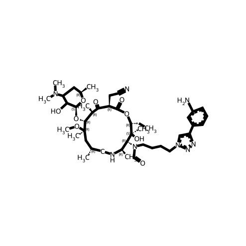 CC[C@H]1OC(=O)[C@H](CC#N)C(=O)[C@H](C)[C@@H](O[C@@H]2O[C@H](C)CC(N(C)C)C2O)[C@](C)(OC)C[C@@H](C)CN[C@H](C)[C@@H](N(C=O)CCCCn2cc(-c3cccc(N)c3)nn2)[C@]1(C)O